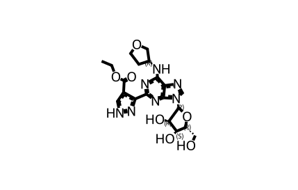 CCOC(=O)c1c[nH]nc1-c1nc(N[C@@H]2CCOC2)c2ncn([C@@H]3O[C@H](CO)[C@@H](O)[C@H]3O)c2n1